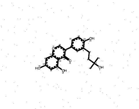 CC(C)(O)CCc1cc(-c2coc3cc(O)cc(O)c3c2=O)ccc1O